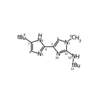 Cn1cc(-c2ncc(C(C)(C)C)[nH]2)nc1NC(C)(C)C